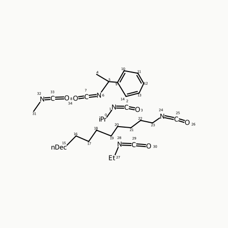 CC(C)N=C=O.CC(N=C=O)c1ccccc1.CCCCCCCCCCCCCCCCCCN=C=O.CCN=C=O.CN=C=O